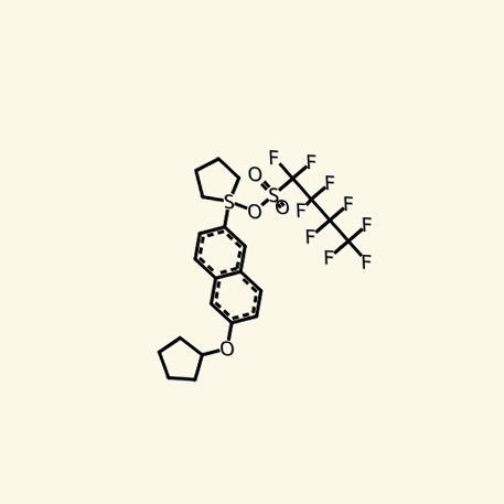 O=S(=O)(OS1(c2ccc3cc(OC4CCCC4)ccc3c2)CCCC1)C(F)(F)C(F)(F)C(F)(F)C(F)(F)F